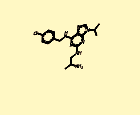 CC(N)CNc1nc(NCc2ccc(Cl)cc2)c2ncn(C(C)C)c2n1